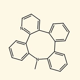 Cn1c2ccccc2c2ccccc2c2cccnc2c2ccccc21